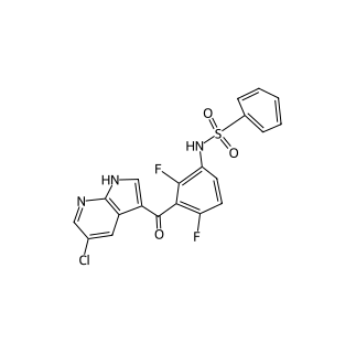 O=C(c1c(F)ccc(NS(=O)(=O)c2ccccc2)c1F)c1c[nH]c2ncc(Cl)cc12